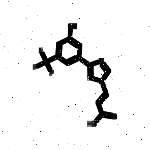 O=C(O)C=Cn1cnc(-c2cc(O)cc(C(F)(F)F)c2)n1